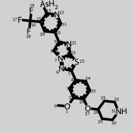 COc1cc(-c2nn3cc(-c4cnc([AsH2])c(C(F)(F)F)c4)nc3s2)ccc1OC1CCNCC1